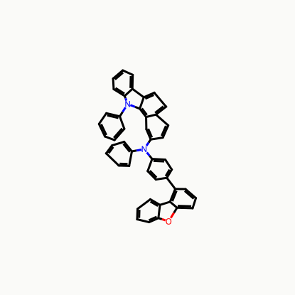 c1ccc(N(c2ccc(-c3cccc4oc5ccccc5c34)cc2)c2ccc3ccc4c5ccccc5n(-c5ccccc5)c4c3c2)cc1